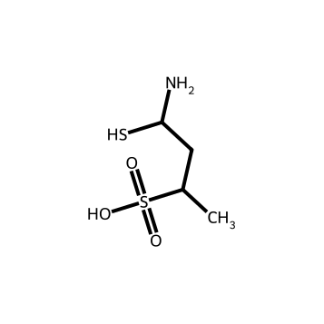 CC(CC(N)S)S(=O)(=O)O